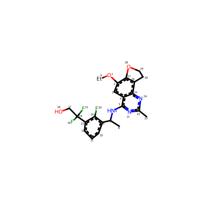 CCOc1cc2c(NC(C)c3cccc(C(F)(F)CO)c3F)nc(C)nc2c2c1OCC2